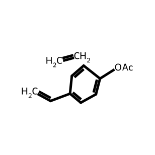 C=C.C=Cc1ccc(OC(C)=O)cc1